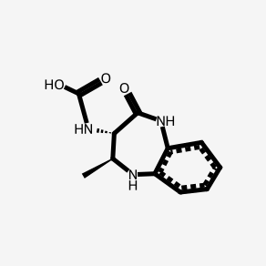 C[C@@H]1Nc2ccccc2NC(=O)[C@H]1NC(=O)O